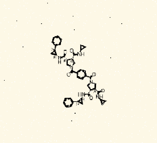 O=C(NC1CC1)[C@H]1CN(C(=O)c2ccc(C(=O)N3C[C@@H](C(=O)NC4CC4)[C@H](C(=O)N[C@@H]4C[C@H]4c4ccccc4)C3)cc2)C[C@@H]1C(=O)N[C@@H]1C[C@H]1c1ccccc1